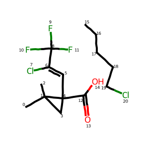 CC1(C)CC1(C=C(Cl)C(F)(F)F)C(=O)O.CCCCCCl